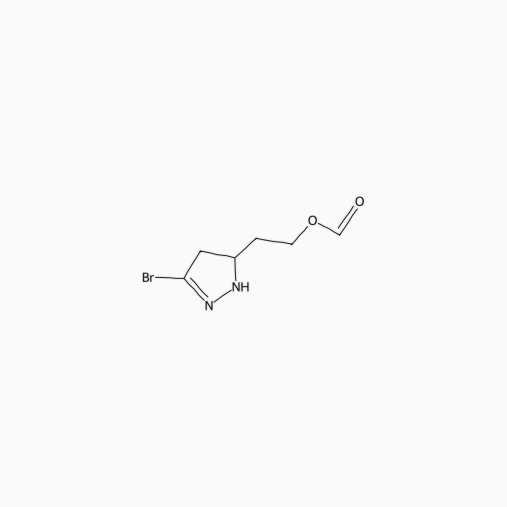 O=COCCC1CC(Br)=NN1